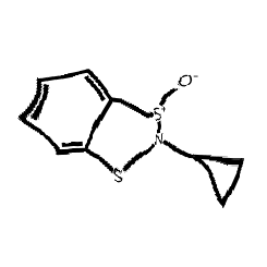 [O-][S+]1c2ccccc2SN1C1CC1